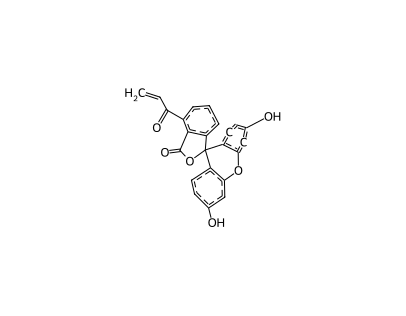 C=CC(=O)c1cccc2c1C(=O)OC21c2ccc(O)cc2Oc2cc(O)ccc21